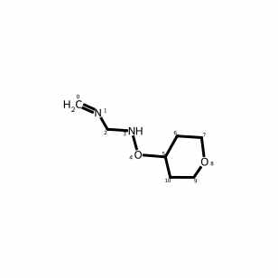 C=NCNOC1CCOCC1